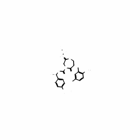 CCCC[C@@H](NC(=O)N1C/C(=N/OCC)NC[C@H](Cc2cc(Cl)ccc2OC)C1=O)c1ccc(C(=O)O)cc1